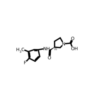 Cc1cc(NC(=O)[C@H]2CCN(C(=O)O)C2)ccc1F